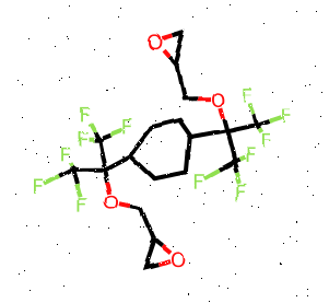 FC(F)(F)C(OCC1CO1)([C]1CCC(C(OCC2CO2)(C(F)(F)F)C(F)(F)F)CC1)C(F)(F)F